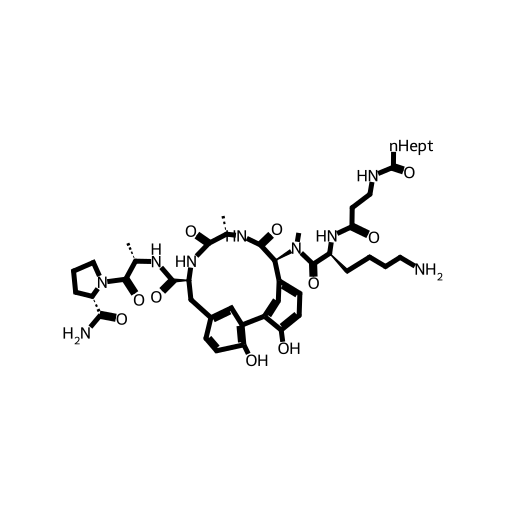 CCCCCCCC(=O)NCCC(=O)N[C@@H](CCCCN)C(=O)N(C)[C@@H]1C(=O)N[C@@H](C)C(=O)N[C@H](C(=O)N[C@@H](C)C(=O)N2CCC[C@H]2C(N)=O)Cc2ccc(O)c(c2)-c2cc1ccc2O